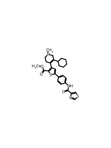 COC(=O)c1sc(-c2ccc(NC(=O)c3cscn3)cc2)cc1C1=C(C2CCCCC2)CN(C)CC1